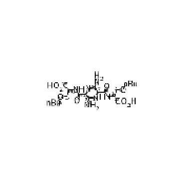 CCCCOC[C@@H](NC(=O)c1nc(N)c(C(=O)N[C@H](COCCCC)C(=O)O)nc1N)C(=O)O